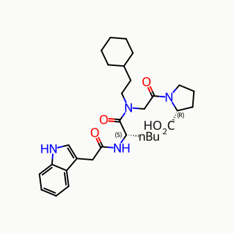 CCCC[C@H](NC(=O)Cc1c[nH]c2ccccc12)C(=O)N(CCC1CCCCC1)CC(=O)N1CCC[C@@H]1C(=O)O